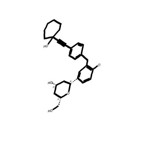 OC[C@@H]1C[C@H](O)C[C@H](c2ccc(Cl)c(Cc3ccc(C#CC4(O)CCCCCC4)cc3)c2)O1